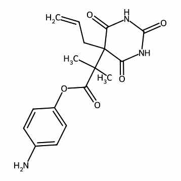 C=CCC1(C(C)(C)C(=O)Oc2ccc(N)cc2)C(=O)NC(=O)NC1=O